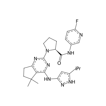 CC(C)c1cc(Nc2nc(N3CCC[C@H]3C(=O)Nc3ccc(F)nc3)nc3c2C(C)(C)CC3)n[nH]1